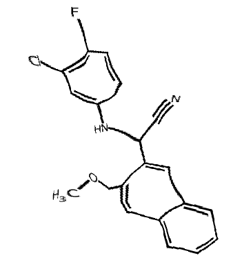 COc1cc2ccccc2cc1C(C#N)Nc1ccc(F)c(Cl)c1